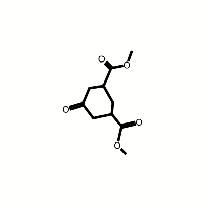 COC(=O)C1CC(=O)CC(C(=O)OC)C1